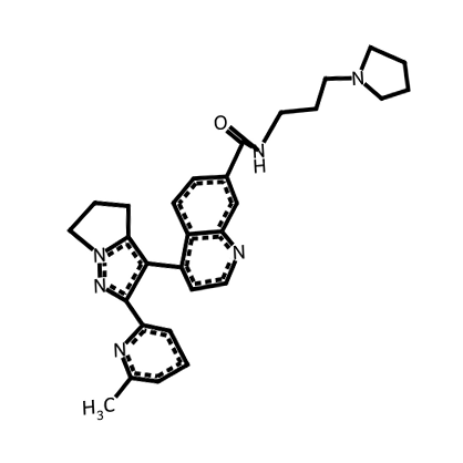 Cc1cccc(-c2nn3c(c2-c2ccnc4cc(C(=O)NCCCN5CCCC5)ccc24)CCC3)n1